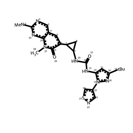 CNc1ncc2cc(C3CC3NC(=O)Nc3cc(C(C)(C)C)nn3-c3cnsc3)c(=O)n(C)c2n1